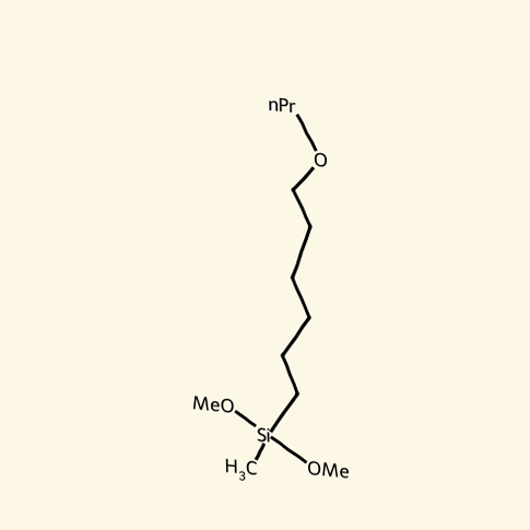 CCCOCCCCCC[Si](C)(OC)OC